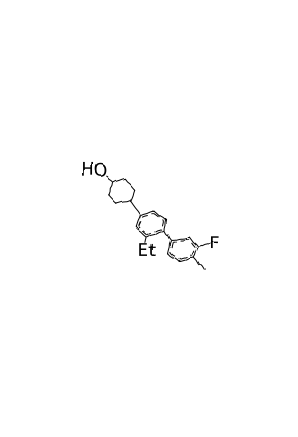 CCc1cc(C2CCC(O)CC2)ccc1-c1ccc(C)c(F)c1